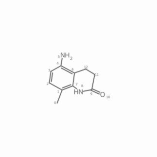 Cc1ccc(N)c2c1NC(=O)CC2